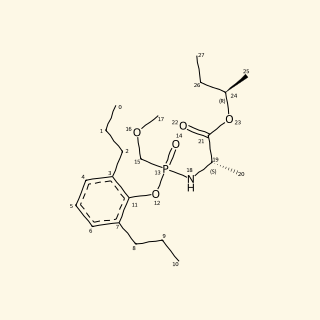 CCCc1cccc(CCC)c1OP(=O)(COC)N[C@@H](C)C(=O)O[C@H](C)CC